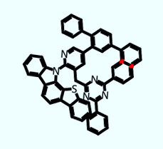 c1ccc(-c2ccc(-c3ccccc3)c(-c3cnc(-n4c5ccccc5c5ccc6c7ccccc7sc6c54)c(Cc4nc(-c5ccccc5)nc(-c5ccccc5)n4)c3)c2)cc1